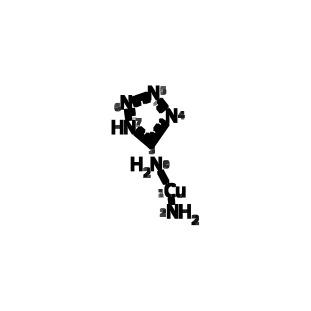 [NH2][Cu][NH2].c1nnn[nH]1